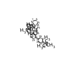 CCC1=Cc2ccccc2[CH]1[Zr]([Cl])([Cl])([CH]1C=Cc2c(-c3ccc(C(C)(C)C)cc3)cccc21)[SiH](C)C